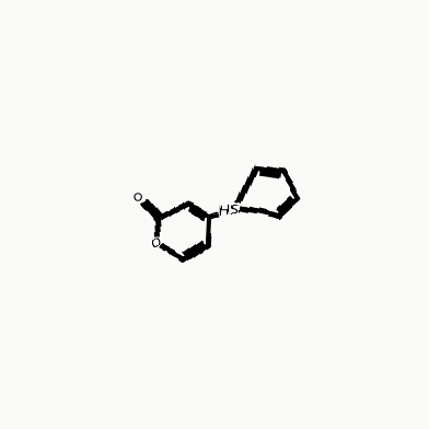 O=c1cc([SH]2C=CC=C2)cco1